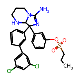 CCCS(=O)(=O)Oc1cccc(C2(c3cccc(-c4cc(Cl)cc(Cl)c4)c3)N=C(N)N3CCCNC32)c1